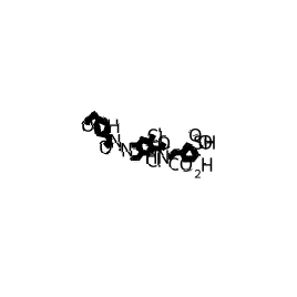 O=C(NCN1CCc2c(cc(Cl)c(C(=O)N[C@@H](Cc3cccc([SH](=O)=O)c3)C(=O)O)c2Cl)C1)c1ccc2ccoc2c1